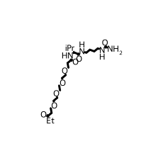 CCC(=O)CCOCCOCCOCCOCCC(=O)N[C@H](C(=O)NCCCCNC(N)=O)C(C)C